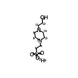 [2H]OS(=O)(=O)CCN1CCN(CCO)CC1